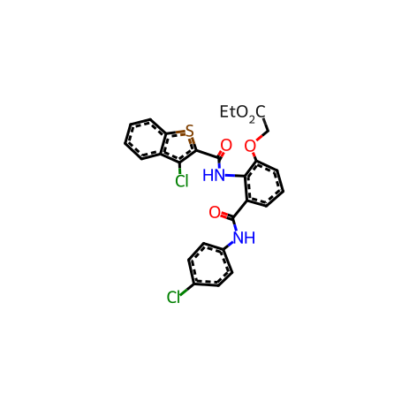 CCOC(=O)COc1cccc(C(=O)Nc2ccc(Cl)cc2)c1NC(=O)c1sc2ccccc2c1Cl